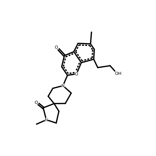 Cc1cc(CCO)c2oc(N3CCC4(CCN(C)C4=O)CC3)cc(=O)c2c1